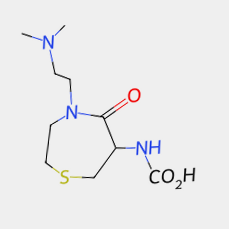 CN(C)CCN1CCSCC(NC(=O)O)C1=O